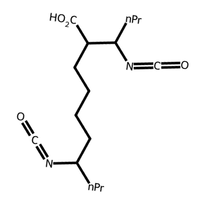 CCCC(CCCCC(C(=O)O)C(CCC)N=C=O)N=C=O